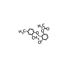 CC(=O)Oc1cccc(Cl)c1COc1ccc(C)cc1C